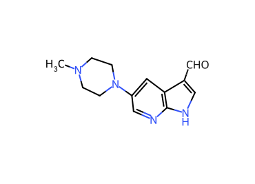 CN1CCN(c2cnc3[nH]cc(C=O)c3c2)CC1